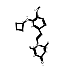 COc1ccc(C=Cn2c(C)cc(=O)cc2C)cc1OC1CCC1